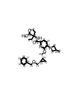 CCC(CC)(NC(=O)c1ccc(N2CC(F)C2)c(OC[C@@H]2C[C@H]2COCc2ccccc2)n1)C(=O)O